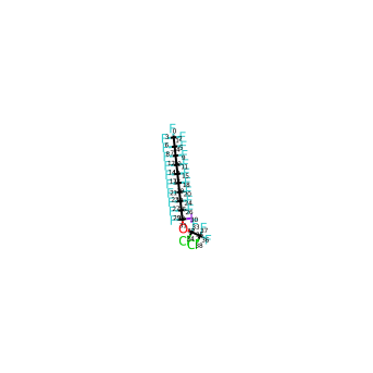 FC(F)(F)C(F)(F)C(F)(F)C(F)(F)C(F)(F)C(F)(F)C(F)(F)C(F)(F)C(F)(F)C(F)(I)OC(F)(Cl)C(F)(F)Cl